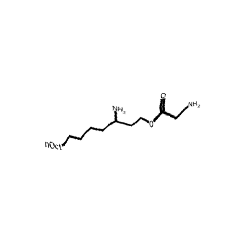 CCCCCCCCCCCCC(N)CCOC(=O)CN